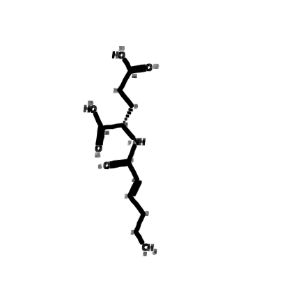 CCCC=CC(=O)N[C@@H](CCC(=O)O)C(=O)O